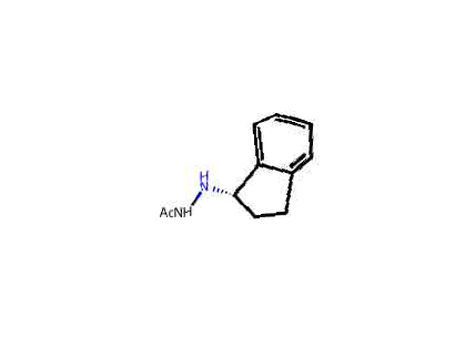 CC(=O)NN[C@H]1CCc2ccccc21